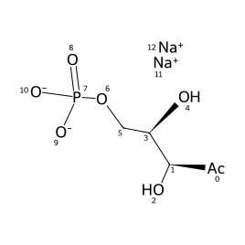 CC(=O)[C@@H](O)[C@H](O)COP(=O)([O-])[O-].[Na+].[Na+]